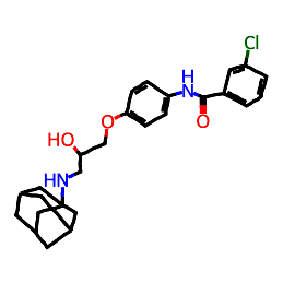 O=C(Nc1ccc(OCC(O)CNC23CC4CC(CC(C4)C2)C3)cc1)c1cccc(Cl)c1